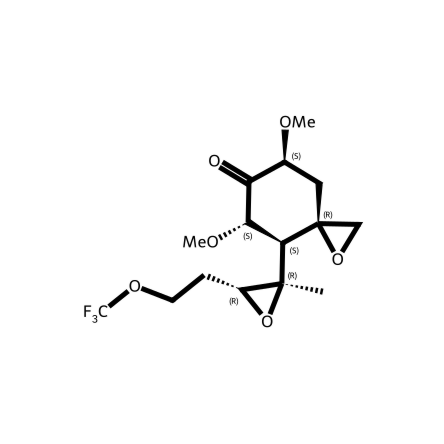 CO[C@H]1C[C@]2(CO2)[C@@H]([C@@]2(C)O[C@@H]2CCOC(F)(F)F)[C@H](OC)C1=O